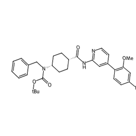 COc1cc(F)ccc1-c1ccnc(NC(=O)[C@H]2CC[C@@H](N(Cc3ccccc3)C(=O)OC(C)(C)C)CC2)c1